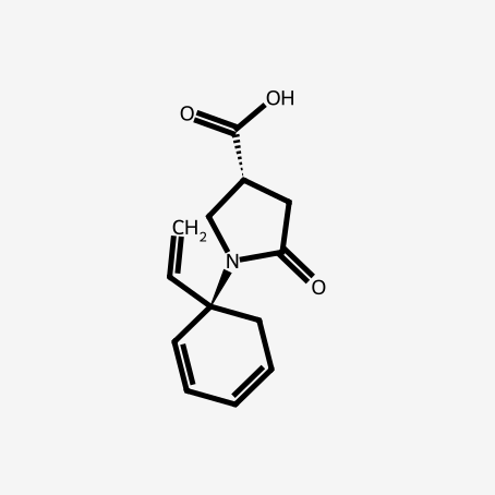 C=C[C@@]1(N2C[C@H](C(=O)O)CC2=O)C=CC=CC1